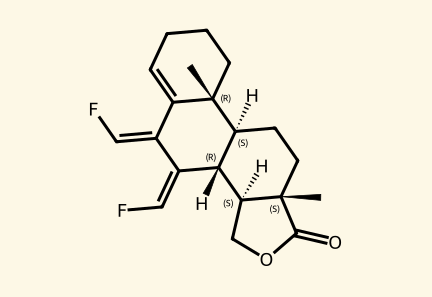 C[C@]12CCCC=C1C(=CF)C(=CF)[C@@H]1[C@@H]2CC[C@]2(C)C(=O)OC[C@@H]12